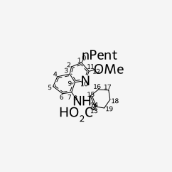 CCCCCc1cc2cccc(N)c2nc1OC.O=C(O)C1=CCCCC1